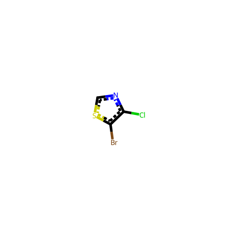 Clc1ncsc1Br